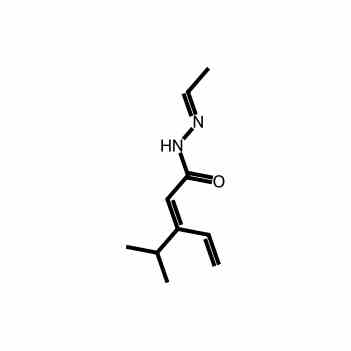 C=C/C(=C\C(=O)N/N=C/C)C(C)C